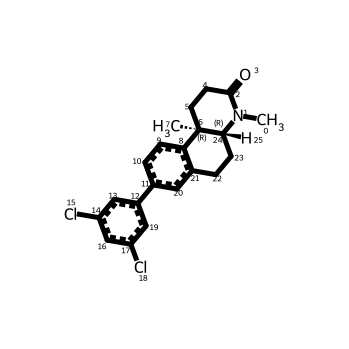 CN1C(=O)CC[C@]2(C)c3ccc(-c4cc(Cl)cc(Cl)c4)cc3CC[C@@H]12